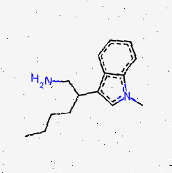 CCCCC(CN)c1cn(C)c2ccccc12